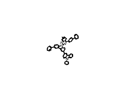 c1ccc(-c2ccc(-c3nc(-n4c5ccc(-c6ccccc6)cc5c5cc(-c6ccc7c(c6)c6ccccc6n7-c6ccccc6)ccc54)nc4ccccc34)cc2)cc1